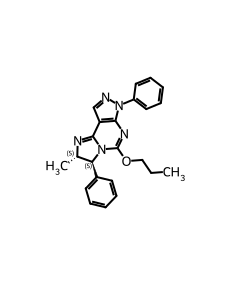 CCCOC1=Nc2c(cnn2-c2ccccc2)C2=N[C@@H](C)[C@H](c3ccccc3)N12